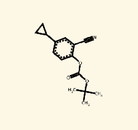 CC(C)(C)OC(=O)Oc1ccc(C2CC2)cc1C#N